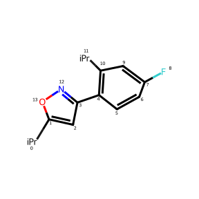 CC(C)c1cc(-c2ccc(F)cc2C(C)C)no1